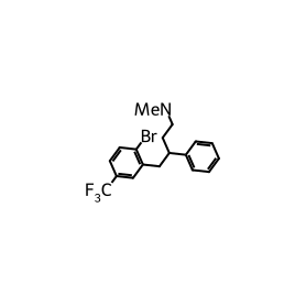 CNCCC(Cc1cc(C(F)(F)F)ccc1Br)c1ccccc1